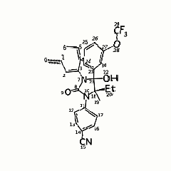 C=C/C=C(\C=C/C)N1C(=O)N(c2ccc(C#N)cc2)[C@](C)(CC)C1(O)c1cccc(OC(F)(F)F)c1